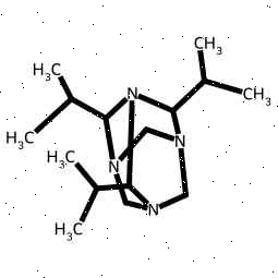 CC(C)C1N2CN3CN(C2)C(C(C)C)N1C3C(C)C